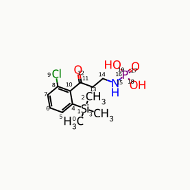 C[Si](C)(C)c1cccc(Cl)c1C(=O)CCNP(=O)(O)O